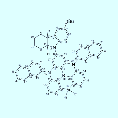 CC(C)(C)c1ccc2c(c1)C1(C)CCCCC1(C)N2c1cc2c3c(c1)N(c1ccc4ccccc4c1)c1cccc4c1B3c1c(cccc1[Si]4(C)C)N2c1ccc2ccccc2c1